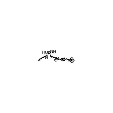 CCCCCCCC(=O)CC[C@@H]1[C@@H](C/C=C\CCCC(=O)OCCCN2CCN(CCCO[N+](=O)[O-])CC2)[C@@H](O)C[C@H]1O